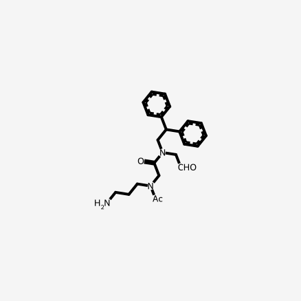 CC(=O)N(CCCN)CC(=O)N(CC=O)CC(c1ccccc1)c1ccccc1